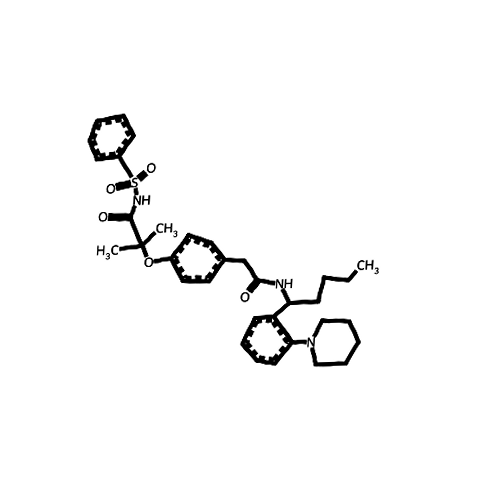 CCCCC(NC(=O)Cc1ccc(OC(C)(C)C(=O)NS(=O)(=O)c2ccccc2)cc1)c1ccccc1N1CCCCC1